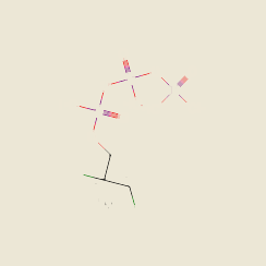 CO[C@](F)(COP(=O)(O)OP(=O)(O)OP(=O)(O)O)[C@H](C)F